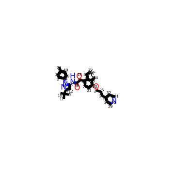 Cc1ccc(-n2nc(C(C)(C)C)cc2NC(=O)C(=O)c2ccc(OCCCc3ccncc3)c3ccccc23)cc1